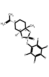 C=C(C)[C@@H]1CC[C@]2(C)S[P@](=S)(Sc3c(F)c(F)c(F)c(F)c3F)S[C@H]2C1